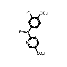 CCN(c1ccc(OCC(C)C)c(C(C)C)c1)c1ncc(C(=O)O)cn1